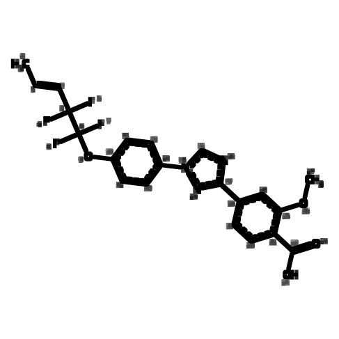 C/C=C/C(F)(F)C(F)(F)Oc1ccc(-n2cnc(-c3ccc(C(=O)O)c(OC)c3)n2)cc1